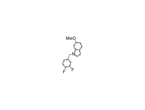 COc1ccc2ccn(Cc3ccc(F)c(F)c3)c2c1